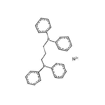 [Ni+2].c1ccc(P(CCCP(c2ccccc2)c2ccccc2)c2ccccc2)cc1